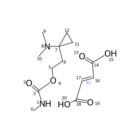 CNC(=O)OCCC1(N(C)C)CC1.O=C(O)/C=C/C(=O)O